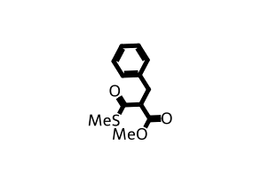 COC(=O)C(Cc1ccccc1)C(=O)SC